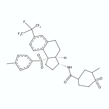 Cc1ccc(S(=O)(=O)[C@@]23CC[C@@H](NC(=O)C4CCS(=O)(=O)C(C)C4)[C@@H]2CCc2cc(C(F)(C(F)(F)F)C(F)(F)F)ccc23)cc1